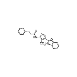 O=C(CCc1ccccc1)Nc1scc(-c2cc3ccccc3o2)c1C(=O)O